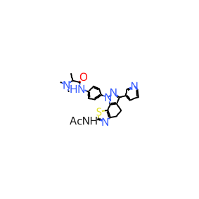 CC(=O)Nc1nc2c(s1)-c1c(c(-c3cccnc3)nn1-c1ccc(NC(=O)C(C)N(C)C)cc1)CC2